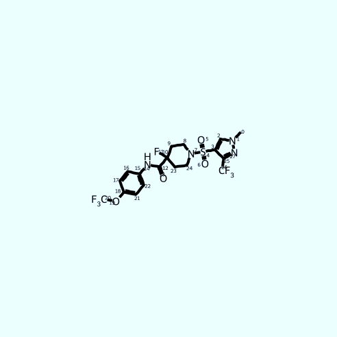 Cn1cc(S(=O)(=O)N2CCC(F)(C(=O)Nc3ccc(OC(F)(F)F)cc3)CC2)c(C(F)(F)F)n1